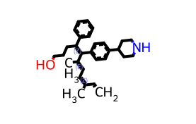 C=C\C(C)=C/C=C(C)/C(=C(\CCCO)c1ccccc1)c1ccc(C2CCNCC2)cc1